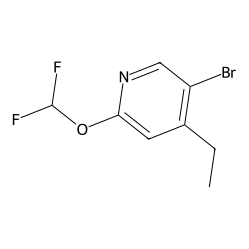 CCc1cc(OC(F)F)ncc1Br